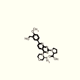 COc1ccc(-c2ccc3c(N4CCOC[C@@H]4C)nc(N4CCCC4C(=O)O)nc3n2)cc1CO